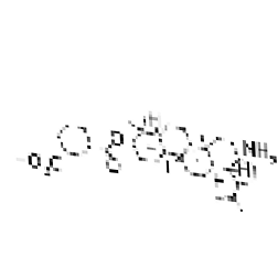 C=C(C)[C@@H]1CC[C@]2(N)CC[C@]3(C)[C@H](CC[C@@H]4[C@@]5(C)CC[C@H](OC(=O)[C@H]6CCC[C@@H](C(=O)O)C6)C(C)(C)[C@@H]5CC[C@]43C)[C@@H]12